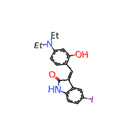 CCN(CC)c1ccc(C=C2C(=O)Nc3ccc(I)cc32)c(O)c1